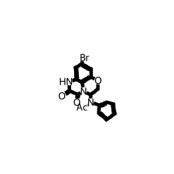 CC(=O)N(c1ccccc1)C1COc2cc(Br)cc3[nH]c(=O)c(=O)n1c23